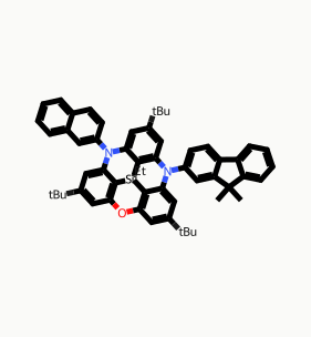 CC[Si]12c3c4cc(C(C)(C)C)cc3N(c3ccc5c(c3)C(C)(C)c3ccccc3-5)c3cc(C(C)(C)C)cc(c31)N(c1ccc3ccccc3c1)c1cc(C(C)(C)C)cc(c12)O4